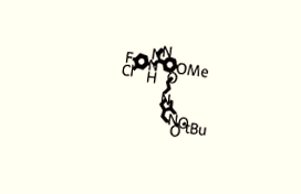 COc1cc2ncnc(Nc3ccc(F)c(Cl)c3)c2cc1OCCCN1CC2CCN(C(=O)OC(C)(C)C)CC2C1